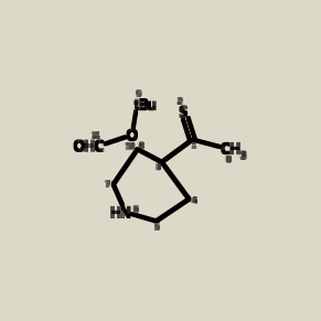 CC(=S)C1CCNCC1.CC(C)(C)OC=O